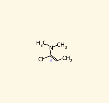 C/C=C(/Cl)N(C)C